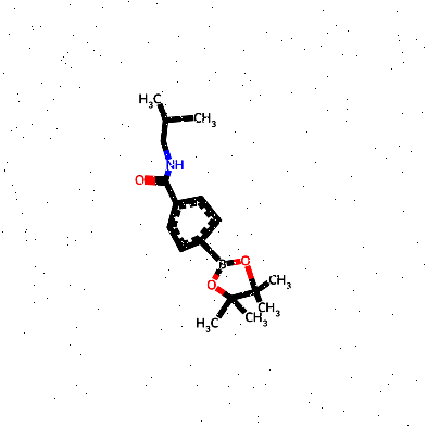 CC(C)CNC(=O)c1ccc(B2OC(C)(C)C(C)(C)O2)cc1